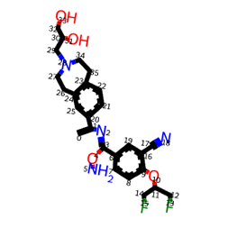 C=C(/N=C(\ON)c1ccc(OC(CF)CF)c(C#N)c1)c1ccc2c(c1)CCN(CC(O)CO)CC2